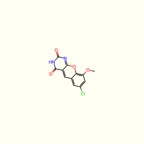 COc1cc(Cl)cc2cc3c(=O)[nH]c(=O)nc-3oc12